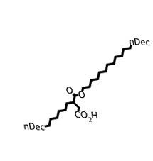 CCCCCCCCCCCCCCCCCCCCCCOC(=O)C(CCCCCCCCCCCCCCCC)CC(=O)O